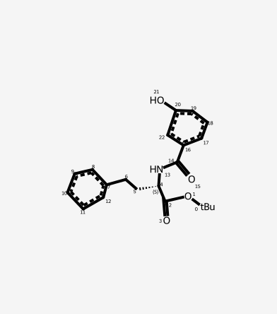 CC(C)(C)OC(=O)[C@H](CCc1ccccc1)NC(=O)c1cccc(O)c1